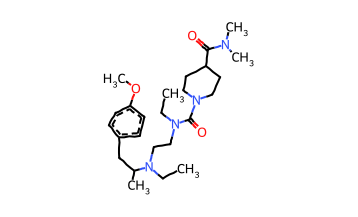 CCN(CCN(CC)C(C)Cc1ccc(OC)cc1)C(=O)N1CCC(C(=O)N(C)C)CC1